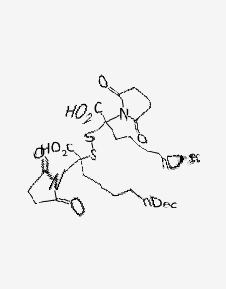 CCCCCCCCCCCCCCC(SSC(CCCCCCCCCCCCCC)(C(=O)O)N1C(=O)CCC1=O)(C(=O)O)N1C(=O)CCC1=O